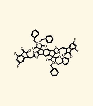 O=C1C(=O)c2c(F)cc(F)cc2/C1=C/c1nc2c(s1)-c1cc3c(cc1C2(C(=O)OCc1ccccc1)C(=O)OCc1ccccc1)-c1sc(/C=C2\C(=O)C(=O)c4c(F)cc(F)cc42)nc1C3(C(=O)OCc1ccccc1)C(=O)OCc1ccccc1